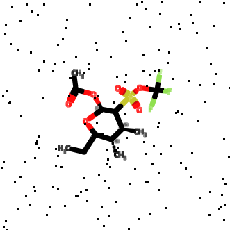 CCC1O[C@@H](OC(C)=O)C(S(=O)(=O)OC(F)(F)F)[C@@H](C)[C@@H]1C